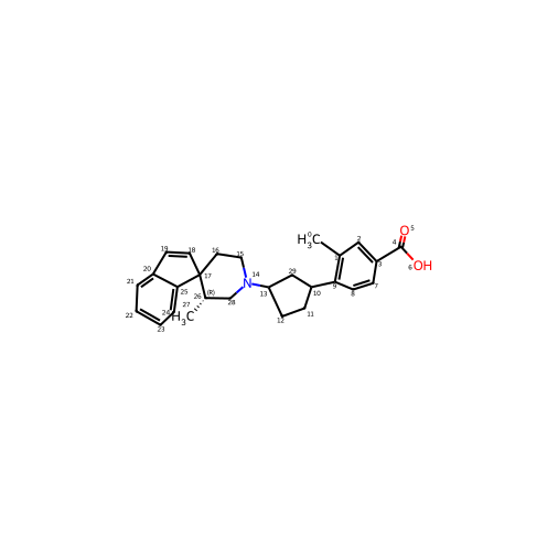 Cc1cc(C(=O)O)ccc1C1CCC(N2CCC3(C=Cc4ccccc43)[C@@H](C)C2)C1